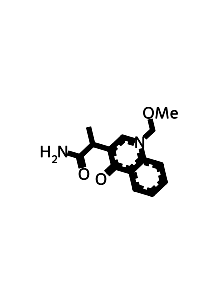 COCn1cc(C(C)C(N)=O)c(=O)c2ccccc21